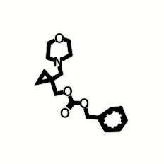 O=C(OCc1ccccc1)OCC1(CN2CCOCC2)CC1